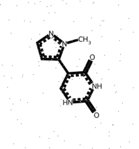 Cn1nccc1-c1c[nH]c(=O)[nH]c1=O